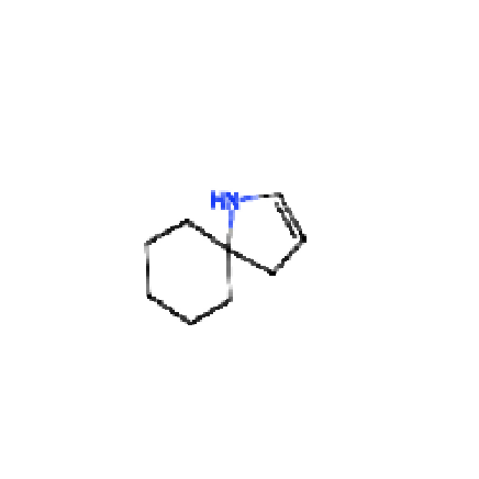 C1=CNC2(C1)CCCCC2